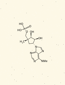 CNc1ncnc2c1ncn2[C@@H]1C[C@](C)(COP(=O)(O)O)[C@@H](O)[C@H]1O